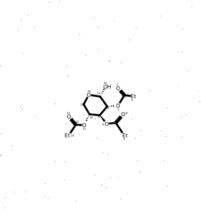 CCC(=O)O[C@@H]1[C@@H](OC(=O)CC)[C@H](OC(=O)CC)CO[C@@H]1O